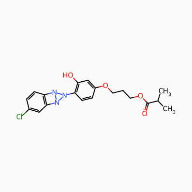 CC(C)C(=O)OCCCOc1ccc(-n2n3c4ccc(Cl)cc4n23)c(O)c1